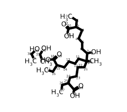 CCC(CCCCC(O)C(C)(CCCCC(CC)C(=O)O)CCCCC(CC)C(=O)O)C(=O)O.CCO.CCO